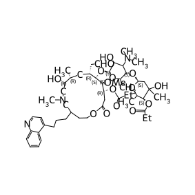 CCC(=O)O[C@@H]1CC(=O)OCCC(CCCc2ccnc3ccccc23)CN(C)C[C@H](O)[C@H](C)C[C@H](CC=O)[C@H](O[C@@H]2OC(C)[C@@H](O[C@H]3CC(C)(O)[C@@H](OC(=O)CC)C(C)O3)C(N(C)C)C2O)[C@H]1OC